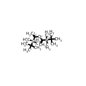 C=C(OC(=C)[Si](C)(C)C(C)(C)C)[Si](C)(C)C(C)(C)C